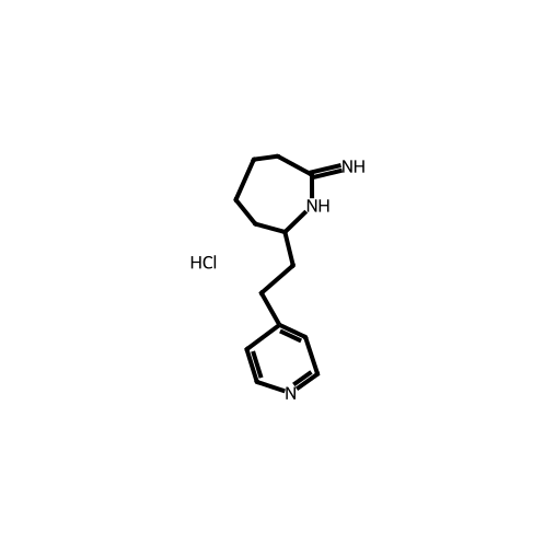 Cl.N=C1CCCCC(CCc2ccncc2)N1